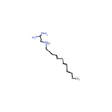 CCCCCCCCCCCCNCC(N)N